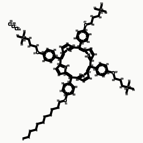 CCCCCCCCCCCOc1ccc(C2=C3C=CC(=N3)C(c3ccc(OCCC[N+](C)(C)C)cc3)=C3C=CC(=N3)C(c3ccc(OCCC[N+](C)(C)C)cc3)=C3C=CC(=N3)C(c3ccc(OCCC[N+](C)(C)C)cc3)=C3C=CC2=N3)cc1.[Cl-].[Cl-].[Cl-]